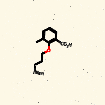 CCCCCCCCCCCCOc1c(C)cccc1C(=O)O